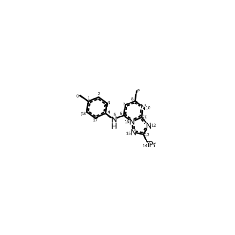 Cc1ccc(Nc2cc(C)nc3nc(C(C)C)nn23)cc1